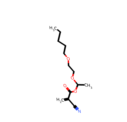 C=C(C#N)C(=O)OC(C)OCCOCCCCC